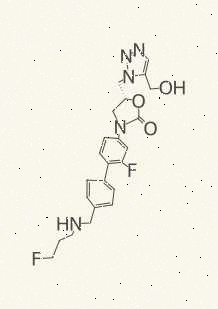 O=C1O[C@@H](Cn2nncc2CO)CN1c1ccc(-c2ccc(CNCCCF)cc2)c(F)c1